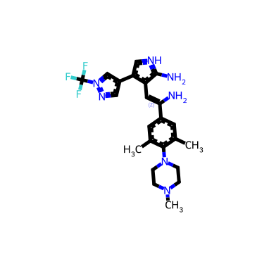 Cc1cc(/C(N)=C/c2c(-c3cnn(C(F)(F)F)c3)c[nH]c2N)cc(C)c1N1CCN(C)CC1